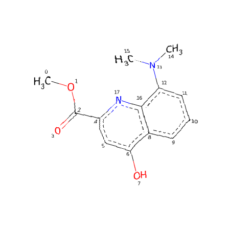 COC(=O)c1cc(O)c2cccc(N(C)C)c2n1